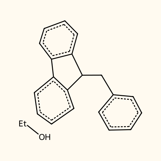 CCO.c1ccc(CC2c3ccccc3-c3ccccc32)cc1